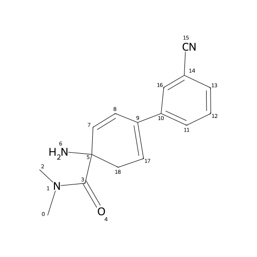 CN(C)C(=O)C1(N)C=CC(c2cccc(C#N)c2)=CC1